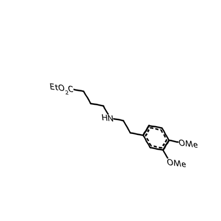 CCOC(=O)CCCNCCc1ccc(OC)c(OC)c1